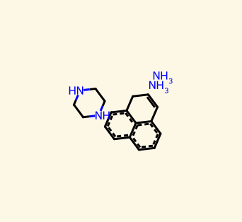 C1=Cc2cccc3cccc(c23)C1.C1CNCCN1.N.N